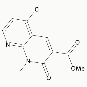 COC(=O)c1cc2c(Cl)ccnc2n(C)c1=O